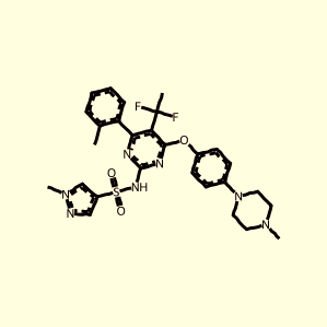 Cc1ccccc1-c1nc(NS(=O)(=O)c2cnn(C)c2)nc(Oc2ccc(N3CCN(C)CC3)cc2)c1C(C)(F)F